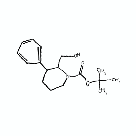 CC(C)(C)OC(=O)N1CCCC(c2ccccc2)C1CO